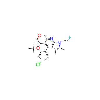 CC(=O)[C@@H](OC(C)(C)C)c1c(C)nc2c(c(C)c(C)n2CCF)c1-c1ccc(Cl)cc1